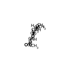 CCN(CCNC(=O)OC(C)(C)C)S(=O)(=O)c1ccc(NC(=O)c2cc3c(C)nn(C4CCCCC4)c3s2)cc1